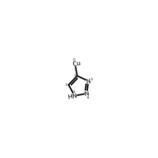 [Cu][c]1c[nH]nn1